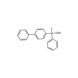 CC(O)(c1ccccc1)c1ccc(-c2ccccc2)cc1